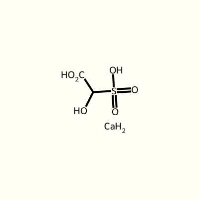 O=C(O)C(O)S(=O)(=O)O.[CaH2]